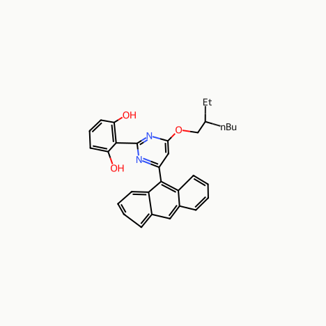 CCCCC(CC)COc1cc(-c2c3ccccc3cc3ccccc23)nc(-c2c(O)cccc2O)n1